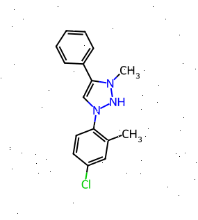 Cc1cc(Cl)ccc1N1C=C(c2ccccc2)N(C)N1